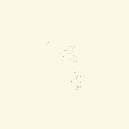 C=CC(=O)OCCCNC1=C(C#N)/C(=C(\O)[C@@H](O)OC2CCC(OC(=O)/C(C#N)=C3\CC(C)(C)CC(N(CC)CC)C3C#N)CC2)CC(C)(C)C1